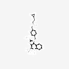 CCCCc1nc2c(NC(=O)O)nc3ccccc3c2n1Cc1ccc(CNCCC2CC2)cc1